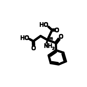 N[C@@](CC(=O)O)(C(=O)O)C(=O)c1ccccc1